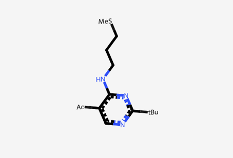 CSCCCNc1nc(C(C)(C)C)ncc1C(C)=O